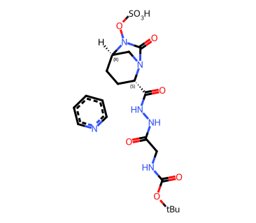 CC(C)(C)OC(=O)NCC(=O)NNC(=O)[C@@H]1CC[C@@H]2CN1C(=O)N2OS(=O)(=O)O.c1ccncc1